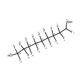 CCCCCCCCCCC(F)C(F)(F)C(F)(F)C(F)(F)C(F)(F)C(F)(F)C(F)(F)C(F)(F)C(O)(F)F